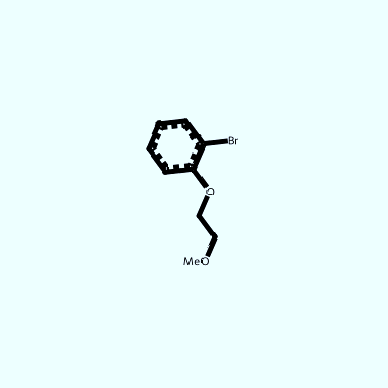 COCCOc1cc[c]cc1Br